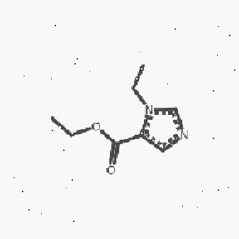 CCOC(=O)c1cncn1CC